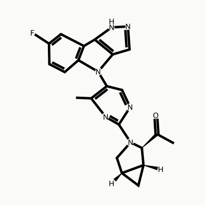 CC(=O)[C@H]1[C@@H]2C[C@@H]2CN1c1ncc(-n2c3ccc(F)cc3c3[nH]ncc32)c(C)n1